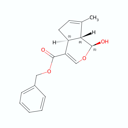 CC1=CC[C@@H]2C(C(=O)OCc3ccccc3)=CO[C@H](O)[C@@H]12